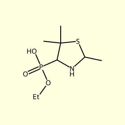 CCOP(=O)(O)C1NC(C)SC1(C)C